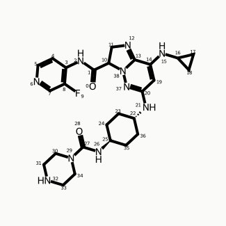 O=C(Nc1ccncc1F)C1CN=C2C(NC3CC3)=CC(N[C@H]3CC[C@H](NC(=O)N4CCNCC4)CC3)=NN21